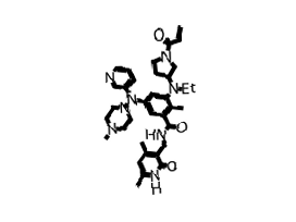 C=CC(=O)N1CCC(N(CC)c2cc(N(c3cccnc3)N3CCN(C)CC3)cc(C(=O)NCc3c(C)cc(C)[nH]c3=O)c2C)C1